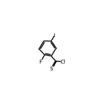 Fc1ccc(I)cc1C(=S)Cl